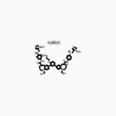 CCCCOCCOc1ccc(-c2ccc3c(c2)C=C(C(=O)Nc2ccc([S+]([O-])Cc4cncn4CCC)cc2)CCCN3CC(C)C)cc1-c1ccc2c(c1)C=C(C(=O)Nc1ccc([S+]([O-])Cc3cncn3CCC)cc1)CCCN2CC(C)C.CS(=O)(=O)O.CS(=O)(=O)O